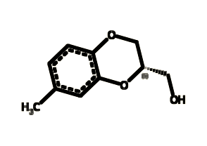 Cc1ccc2c(c1)O[C@@H](CO)CO2